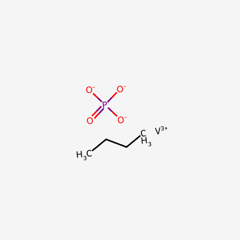 CCCC.O=P([O-])([O-])[O-].[V+3]